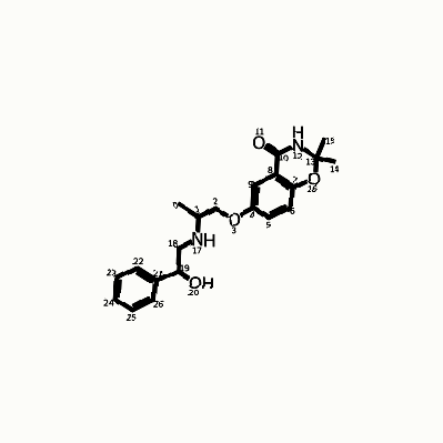 CC(COc1ccc2c(c1)C(=O)NC(C)(C)O2)NCC(O)c1ccccc1